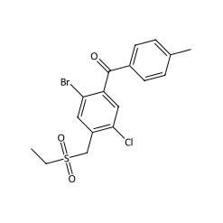 CCS(=O)(=O)Cc1cc(Br)c(C(=O)c2ccc(C)cc2)cc1Cl